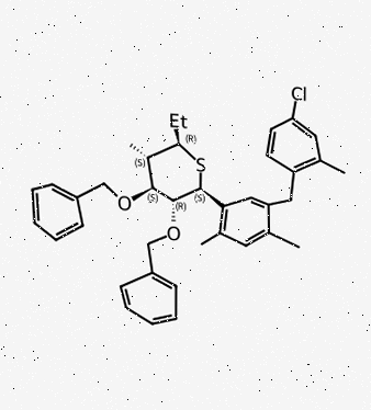 CC[C@H]1S[C@@H](c2cc(Cc3ccc(Cl)cc3C)c(C)cc2C)[C@H](OCc2ccccc2)[C@@H](OCc2ccccc2)[C@@H]1C